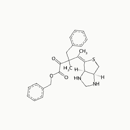 CC(=C1SC[C@H]2NCN[C@@H]12)C(C)(Cc1ccccc1)C(=O)C(=O)OCc1ccccc1